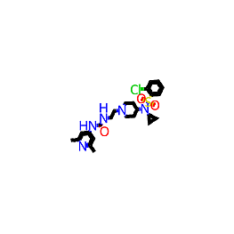 Cc1cc(NC(=O)NCCN2CCC(N(C3CC3)S(=O)(=O)c3ccccc3Cl)CC2)cc(C)n1